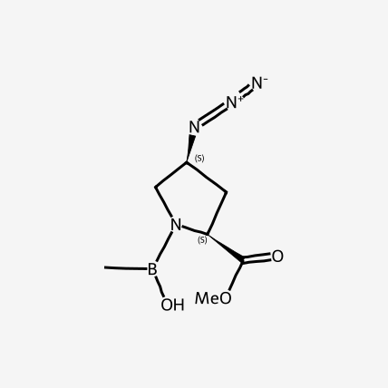 COC(=O)[C@@H]1C[C@H](N=[N+]=[N-])CN1B(C)O